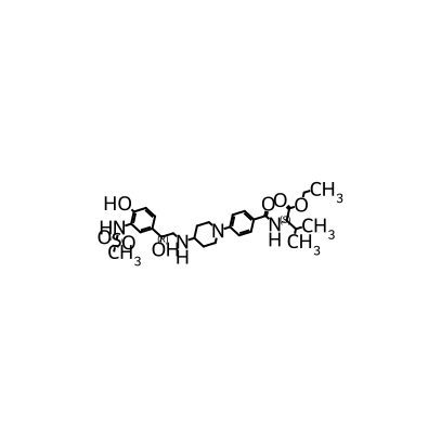 CCOC(=O)[C@@H](NC(=O)c1ccc(N2CCC(NC[C@H](O)c3ccc(O)c(NS(C)(=O)=O)c3)CC2)cc1)C(C)C